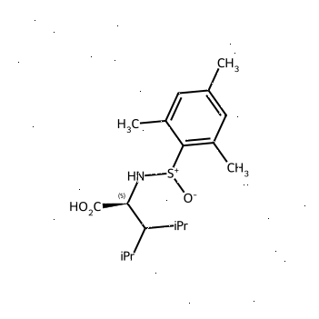 Cc1cc(C)c([S+]([O-])N[C@H](C(=O)O)C(C(C)C)C(C)C)c(C)c1